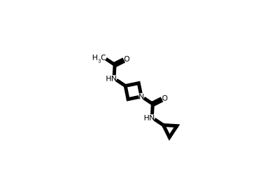 CC(=O)NC1CN(C(=O)NC2CC2)C1